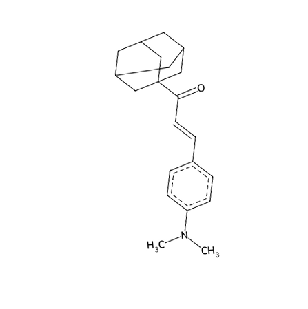 CN(C)c1ccc(C=CC(=O)C23CC4CC(CC(C4)C2)C3)cc1